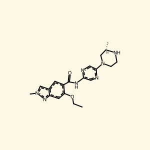 CCOc1cc2nn(C)cc2cc1C(=O)Nc1cnc(N2CCN[C@@H](C)C2)cn1